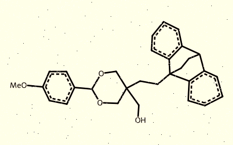 COc1ccc(C2OCC(CO)(CCC34CCC(c5ccccc53)c3ccccc34)CO2)cc1